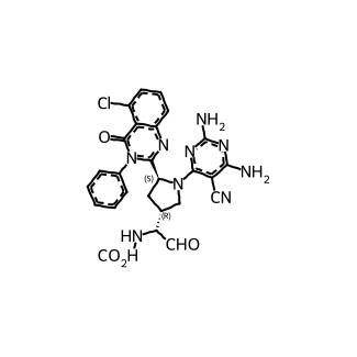 N#Cc1c(N)nc(N)nc1N1C[C@H](C(C=O)NC(=O)O)C[C@H]1c1nc2cccc(Cl)c2c(=O)n1-c1ccccc1